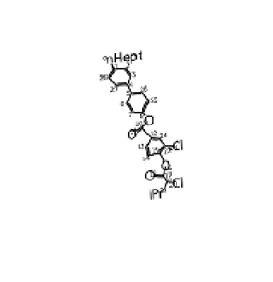 CCCCCCCc1ccc(-c2ccc(OC(=O)c3ccc(OC(=O)C(Cl)C(C)C)c(Cl)c3)cc2)cc1